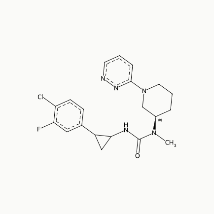 CN(C(=O)NC1CC1c1ccc(Cl)c(F)c1)[C@@H]1CCCN(c2cccnn2)C1